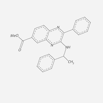 COC(=O)c1ccc2nc(-c3ccccc3)c(NC(C)c3ccccc3)nc2c1